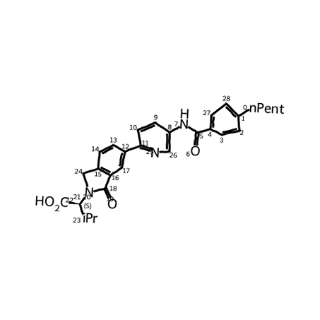 CCCCCc1ccc(C(=O)Nc2ccc(-c3ccc4c(c3)C(=O)N([C@H](C(=O)O)C(C)C)C4)nc2)cc1